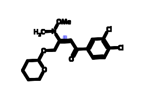 CON(C)/C(=C/C(=O)c1ccc(Cl)c(Cl)c1)COC1CCCCO1